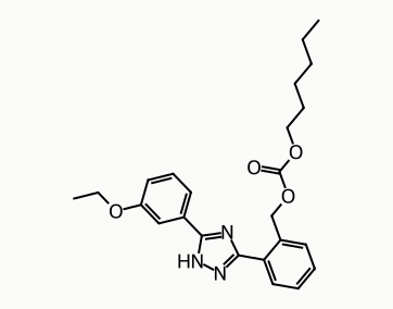 CCCCCCOC(=O)OCc1ccccc1-c1n[nH]c(-c2cccc(OCC)c2)n1